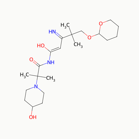 CC(C)(COC1CCCCO1)C(=N)/C=C(\O)NC(=O)C(C)(C)N1CCC(O)CC1